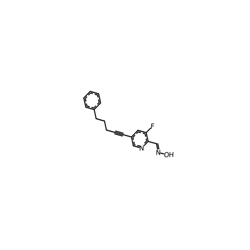 ON=Cc1ncc(C#CCCCc2ccccc2)cc1F